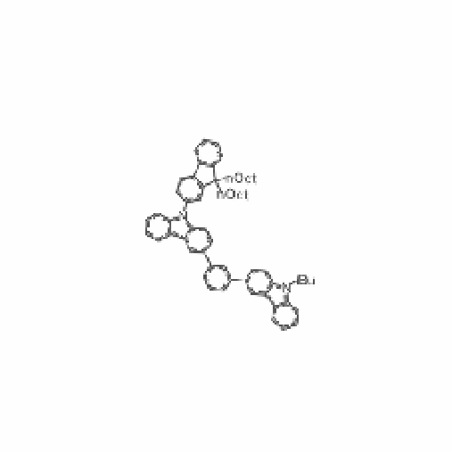 CCCCCCCCC1(CCCCCCCC)c2ccccc2-c2ccc(-n3c4ccccc4c4cc(-c5cccc(-c6ccc7c(c6)c6ccccc6n7C(C)CC)c5)ccc43)cc21